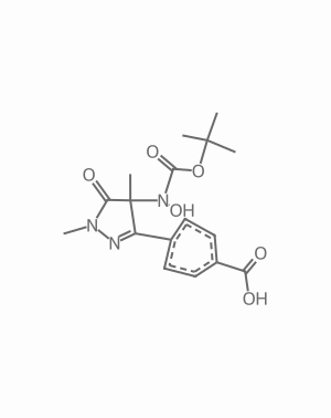 CN1N=C(c2ccc(C(=O)O)cc2)C(C)(N(O)C(=O)OC(C)(C)C)C1=O